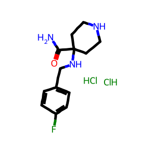 Cl.Cl.NC(=O)C1(NCc2ccc(F)cc2)CCNCC1